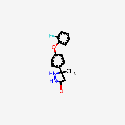 CC1(c2ccc(Oc3ccccc3F)cc2)CC(=O)NN1